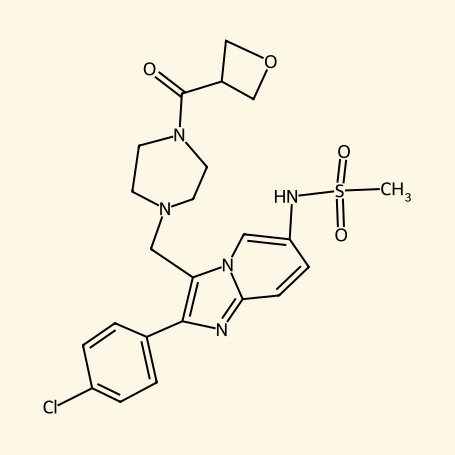 CS(=O)(=O)Nc1ccc2nc(-c3ccc(Cl)cc3)c(CN3CCN(C(=O)C4COC4)CC3)n2c1